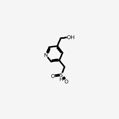 O=[SH](=O)Cc1cncc(CO)c1